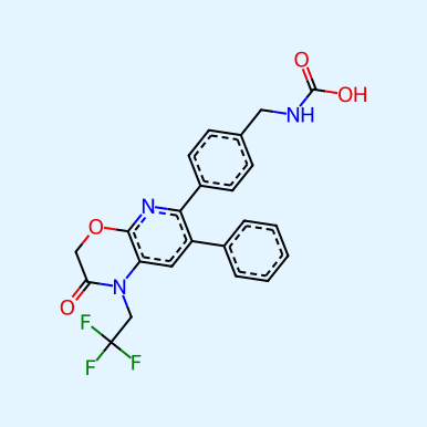 O=C(O)NCc1ccc(-c2nc3c(cc2-c2ccccc2)N(CC(F)(F)F)C(=O)CO3)cc1